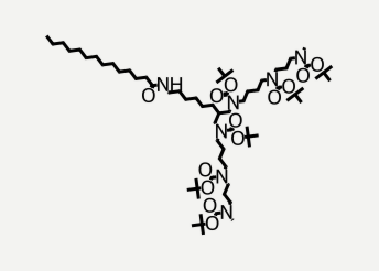 CCCCCCCCCCCCCC(=O)NCCCCCCC(CN(CCCCN(CCCN(C)C(=O)OC(C)(C)C)C(=O)OC(C)(C)C)C(=O)OC(C)(C)C)CN(CCCCN(CCCN(C)C(=O)OC(C)(C)C)C(=O)OC(C)(C)C)C(=O)OC(C)(C)C